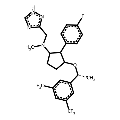 C[C@@H](OC1CCC(N(C)Cc2nc[nH]n2)C1c1ccc(F)cc1)c1cc(C(F)(F)F)cc(C(F)(F)F)c1